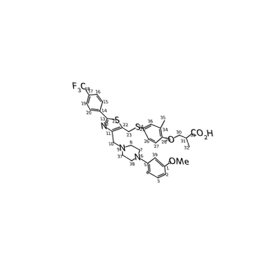 COc1cccc(N2CCN(Cc3nc(-c4ccc(C(F)(F)F)cc4)sc3CSc3ccc(OCC(C)C(=O)O)c(C)c3)CC2)c1